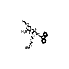 BCC(=O)N(CC(=O)OCCI)C[C@H](COCCOCCOC(C)(C)C)NC(=O)OCC1c2ccccc2-c2ccccc21